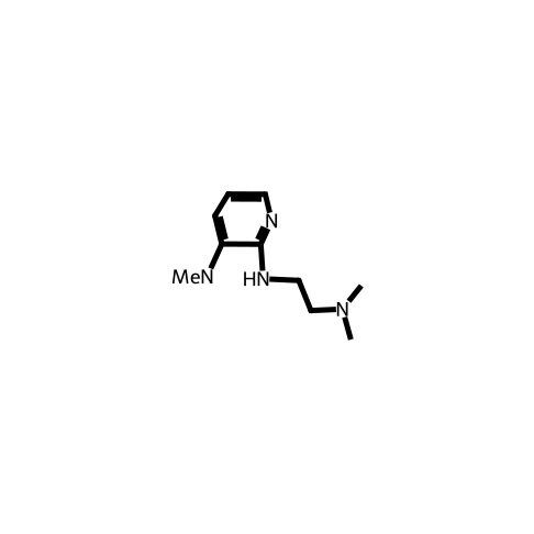 CNc1cccnc1NCCN(C)C